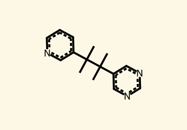 CC(C)(c1cccnc1)C(C)(C)c1cncnc1